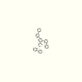 c1ccc(-c2ccc3sc4ccc(-c5cccc6c7ccccc7n(-c7cccc(-n8c9ccccc9c9ccccc98)n7)c56)cc4c3c2)cc1